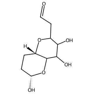 O=CCC1O[C@H]2CC[C@@H](O)OC2C(O)C1O